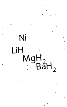 [BaH2].[LiH].[MgH2].[Ni]